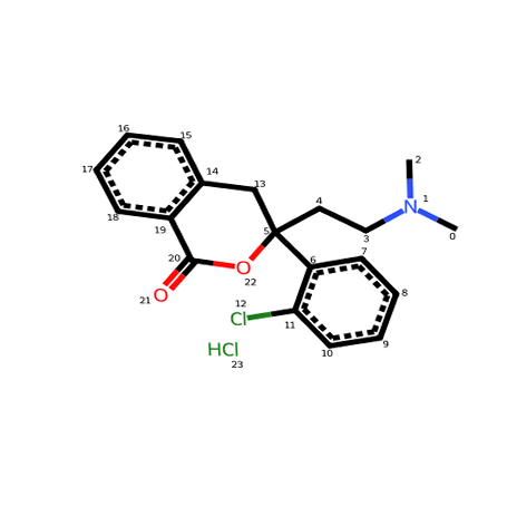 CN(C)CCC1(c2ccccc2Cl)Cc2ccccc2C(=O)O1.Cl